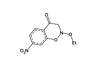 CCON1CC(=O)c2ccc([N+](=O)[O-])cc2O1